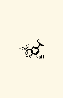 CC(=O)c1ccc(S)c(S(=O)(=O)O)c1.[NaH]